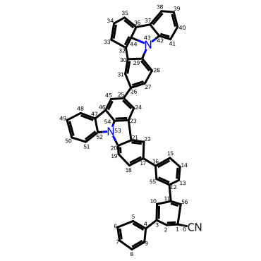 N#Cc1cc(-c2ccccc2)cc(-c2cccc(-c3ccc4c(c3)c3cc(-c5ccc6c(c5)c5cccc7c8ccccc8n6c75)cc5c6ccccc6n4c53)c2)c1